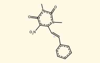 Cn1c(/C=C/c2ccccc2)c([N+](=O)[O-])c(=O)n(C)c1=O